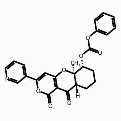 C[C@@]12Oc3cc(-c4cccnc4)oc(=O)c3C(=O)[C@H]1CCC[C@H]2OC(=O)Oc1ccccc1